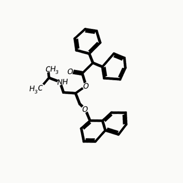 CC(C)NCC(COc1cccc2ccccc12)OC(=O)C(c1ccccc1)c1ccccc1